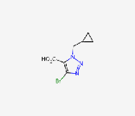 O=C(O)c1c(Br)nnn1CC1CC1